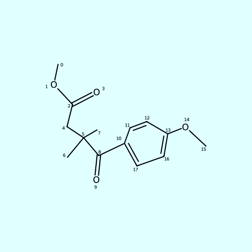 COC(=O)CC(C)(C)C(=O)c1ccc(OC)cc1